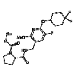 COc1nc(OC2CCC(F)(F)CC2)c(F)cc1CNC(=O)[C@@H]1CCCN1C(=O)OC(C)(C)C